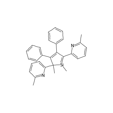 Cc1cccc(C2=[Si](C)C(C)(c3cccc(C)n3)C(c3ccccc3)=C2c2ccccc2)n1